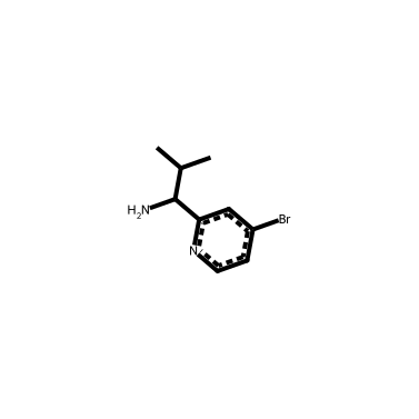 CC(C)C(N)c1cc(Br)ccn1